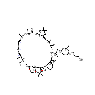 CO[C@H]1C[C@@H]2CC[C@@H](C)[C@@](OC(C)(C)C)(O2)C(=O)C(=O)N2CCCC[C@H]2C(=O)O[C@H]([C@H](C)C[C@@H]2CC[C@@H](OCCO)[C@H](C)C2)CC(=O)[C@H](C)/C=C(\C)[C@@H](OC(C)(C)C)[C@@H](C)C(=O)[C@H](C)C[C@H](C)/C=C/C=C/C=C/1C